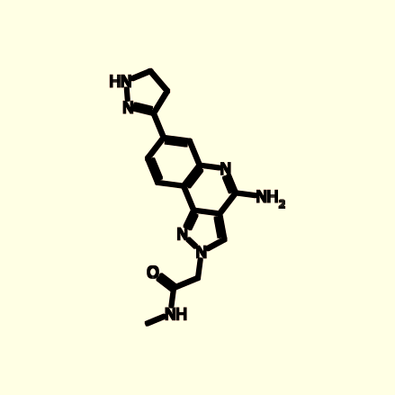 CNC(=O)Cn1cc2c(N)nc3cc(C4=NNCC4)ccc3c2n1